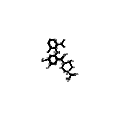 Cc1ccnc(C(C)C)c1Nc1cc(Br)c(F)cc1C(=O)N1CCN(C(=O)O)C[C@@H]1C